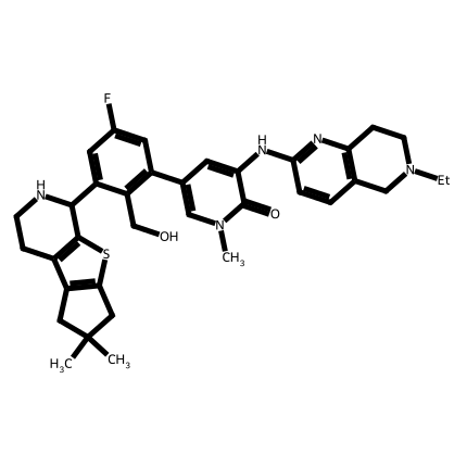 CCN1CCc2nc(Nc3cc(-c4cc(F)cc(C5NCCc6c5sc5c6CC(C)(C)C5)c4CO)cn(C)c3=O)ccc2C1